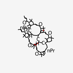 C/C=C/C(=O)C1C(C)=C2C(/C=C/C(=O)C3C(C)=C4C(/C=C/C(=O)C5C(C)=C(CCC5(C)C)C5CC[C@H](CCC)C6=C(C)C(C(=O)/C=C/C7CC(C)(C)C8C(=O)/C=C/C9CC(C)(C)C(C(=O)/C=C/C)C(C)=C9[C@H](CCC2CCCC)CCC4CC[C@H](CC5)C7=C8C)C(C)(C)CC6)CC3(C)C)CC1(C)C